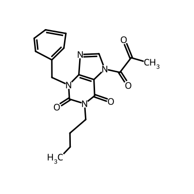 CCCCn1c(=O)c2c(ncn2C(=O)C(C)=O)n(Cc2ccccc2)c1=O